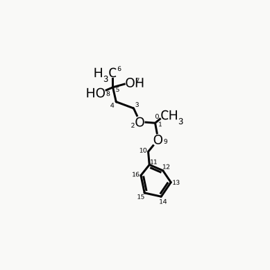 CC(OCCC(C)(O)O)OCc1ccccc1